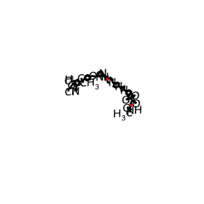 CNC(=O)CCC(C=O)N1C(=O)c2ccc(N3CC(N4CCC(N5CCC6(CC5)CN(c5nccc(COc7ccc(C(C)(C)c8cc(Cl)c(OCCCl)c(C#N)c8)cc7)n5)C6)CC4)C3)cc2C1=O